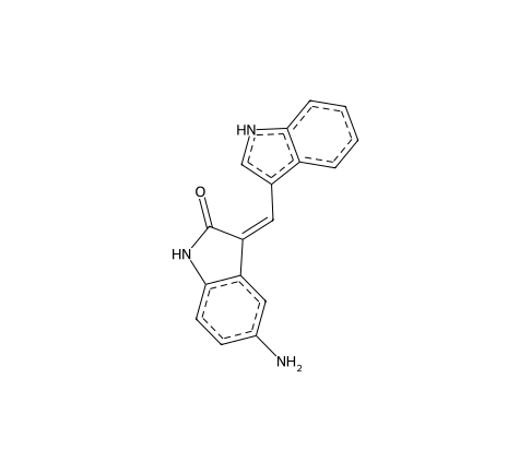 Nc1ccc2c(c1)C(=Cc1c[nH]c3ccccc13)C(=O)N2